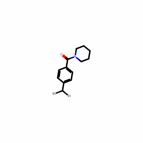 CCC(CC)c1ccc(C(=O)N2CCCCC2)cc1